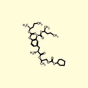 CCCC(C)OC(=O)Oc1cc(C[C@H](N)C(=O)OC(C)COC(=O)OC2CCCCC2)ccc1OC(=O)O[C@@H](C)CCC